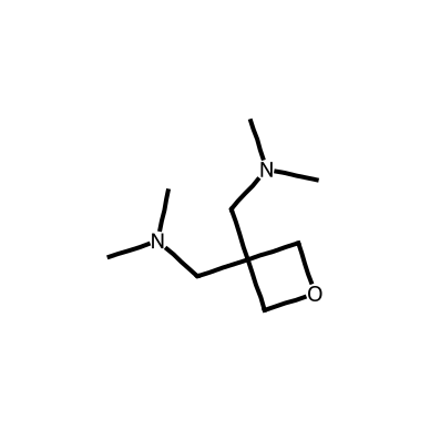 CN(C)CC1(CN(C)C)COC1